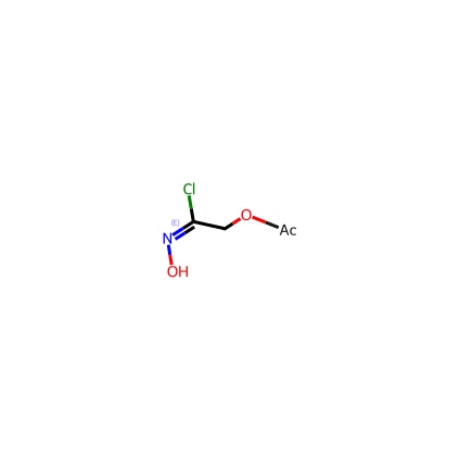 CC(=O)OC/C(Cl)=N\O